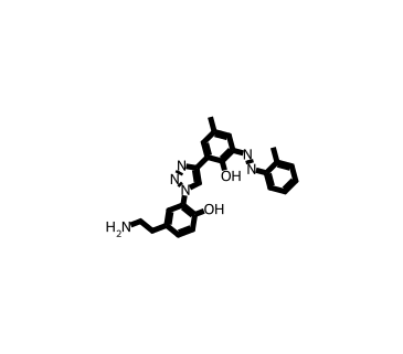 Cc1cc(N=Nc2ccccc2C)c(O)c(-c2cn(-c3cc(CCN)ccc3O)nn2)c1